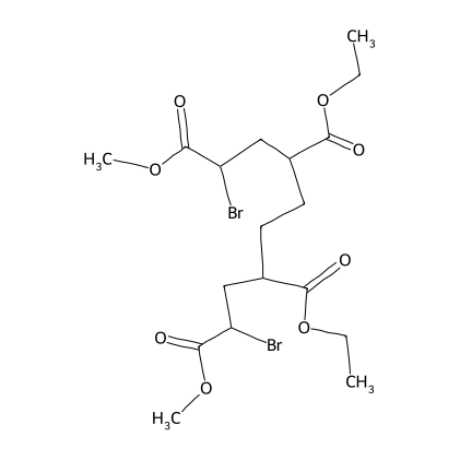 CCOC(=O)C(CCC(CC(Br)C(=O)OC)C(=O)OCC)CC(Br)C(=O)OC